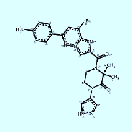 Cc1ccc(-c2cc(C(C)(C)C)c3nc(C(=O)N4CCN(c5cn[nH]c5)C(=O)C4(C)C)cn3n2)cc1